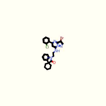 O=C(NCCNc1cc(-c2ccccc2Cl)nc2c(Br)cnn12)C1(c2ccccc2)CCCCC1